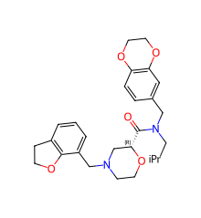 CC(C)CN(Cc1ccc2c(c1)OCCO2)C(=O)[C@H]1CN(Cc2cccc3c2OCC3)CCO1